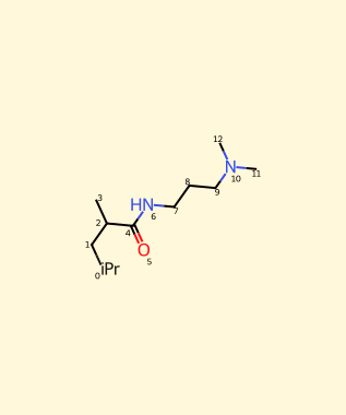 CC(C)CC(C)C(=O)NCCCN(C)C